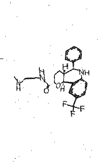 CNCCNC(=O)[C@@H]1CC[C@@H]2[C@@H](c3ccccc3)Nc3ccc(C(F)(F)F)cc3[C@@H]2O1